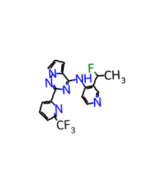 CC(F)c1cnccc1Nc1nc(-c2cccc(C(F)(F)F)n2)nn2cccc12